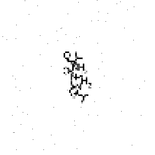 CC(C)c1nc(CN(CP)C(=O)N[C@H](C=O)C(C)C)cs1